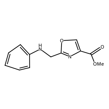 COC(=O)c1coc(CNc2ccccc2)n1